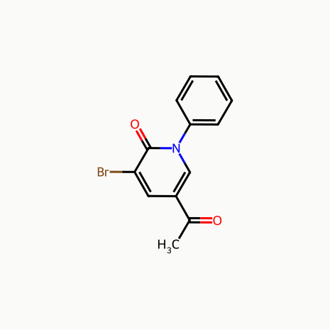 CC(=O)c1cc(Br)c(=O)n(-c2ccccc2)c1